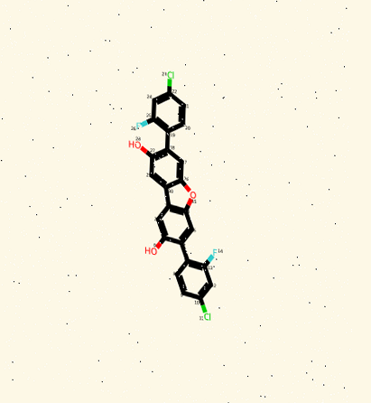 Oc1cc2c(cc1-c1ccc(Cl)cc1F)oc1cc(-c3ccc(Cl)cc3F)c(O)cc12